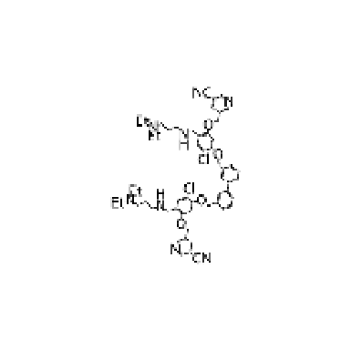 CCN(CC)CCCNCc1cc(Cl)c(OCc2cccc(-c3cccc(COc4cc(OCc5cncc(C#N)c5)c(CNCCCN(CC)CC)cc4Cl)c3)c2)cc1OCc1cncc(C#N)c1